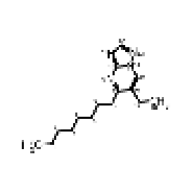 CCCCCCCCc1nc2ncnn2[c]c1CC